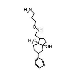 C[C@]12CC[C@H](c3ccccc3)C[C@@]1(O)CC[C@@H]2CNOCCCN